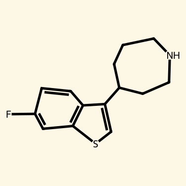 Fc1ccc2c(C3CCCNCC3)csc2c1